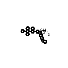 CC1(C)c2ccc(-c3ccc(-c4c5ccccc5c(-c5ccccc5)c5ccccc45)c4ccccc34)cc2-c2cc3cc4sc5ccccc5c4cc3cc21